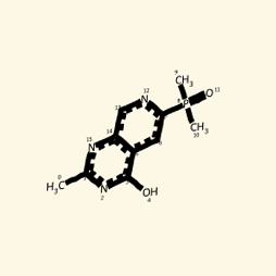 Cc1nc(O)c2cc(P(C)(C)=O)ncc2n1